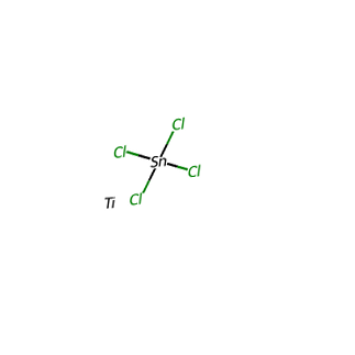 [Cl][Sn]([Cl])([Cl])[Cl].[Ti]